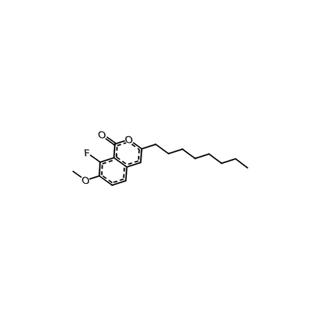 CCCCCCCCc1cc2ccc(OC)c(F)c2c(=O)o1